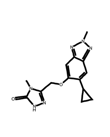 Cn1nc2cc(OCc3n[nH]c(=O)n3C)c(C3CC3)cc2n1